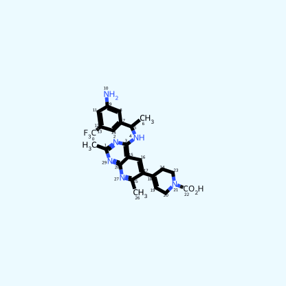 Cc1nc(NC(C)c2cc(N)cc(C(F)(F)F)c2)c2cc(C3=CCN(C(=O)O)CC3)c(C)nc2n1